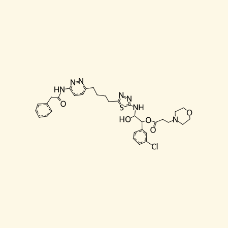 O=C(Cc1ccccc1)Nc1ccc(CCCCc2nnc(NC(O)C(OC(=O)CCN3CCOCC3)c3cccc(Cl)c3)s2)nn1